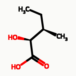 CC[C@@H](C)[C@H](O)C(=O)O